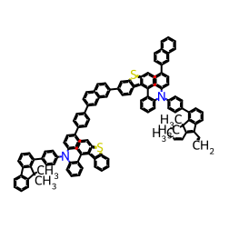 C=CC1=C(/C=C\C)C(C)(C)c2c1cccc2-c1ccc(N(c2ccc(-c3ccc4ccccc4c3)cc2)c2ccccc2-c2cccc3sc4cc(-c5ccc6ccc(-c7ccc(-c8ccc(N(c9ccc(-c%10cccc%11c%10C(C)(C)c%10ccccc%10-%11)cc9)c9ccccc9-c9cccc%10sc%11ccccc%11c9%10)cc8)cc7)cc6c5)ccc4c23)cc1